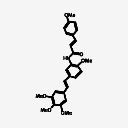 COc1ccc(/C=C/C(=O)Nc2cc(/C=C/c3cc(OC)c(OC)c(OC)c3)ccc2OC)cc1